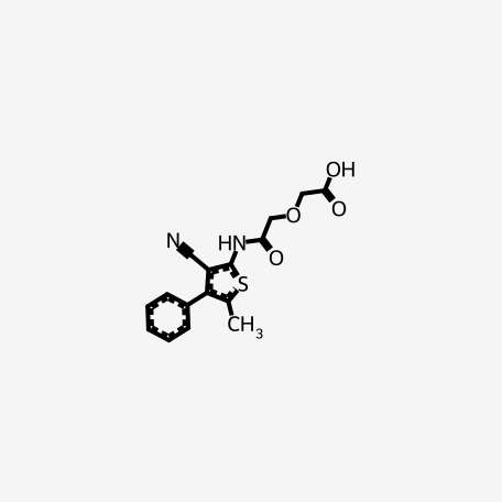 Cc1sc(NC(=O)COCC(=O)O)c(C#N)c1-c1ccccc1